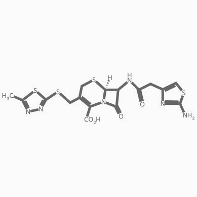 Cc1nnc(SCC2=C(C(=O)O)N3C(=O)C(NC(=O)Cc4csc(N)n4)[C@@H]3SC2)s1